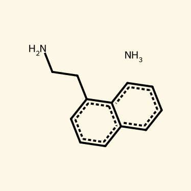 N.NCCc1cccc2ccccc12